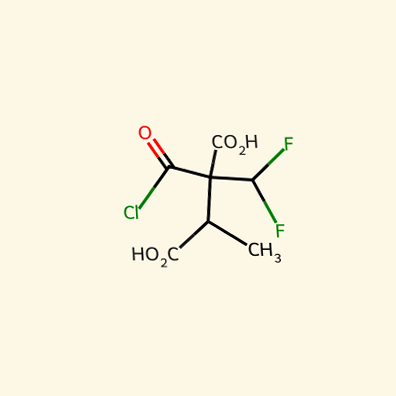 CC(C(=O)O)C(C(=O)O)(C(=O)Cl)C(F)F